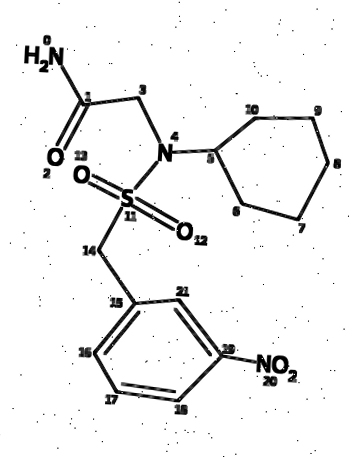 NC(=O)CN(C1CCCCC1)S(=O)(=O)Cc1cccc([N+](=O)[O-])c1